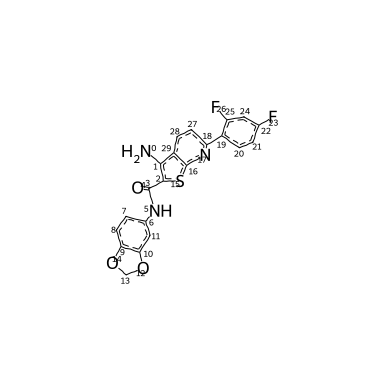 Nc1c(C(=O)Nc2ccc3c(c2)OCO3)sc2nc(-c3ccc(F)cc3F)ccc12